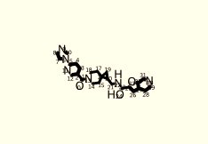 O=C(c1ccc(-n2ccnc2)nc1)N1CCC2(CC1)CC2CNC(O)c1cc2ccncc2o1